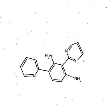 Nc1ccc(-c2ccccn2)c(N)c1-c1ncccn1